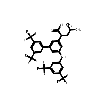 CC(=O)C(CC(C)C)c1cc(Nc2cc(C(F)(F)F)cc(C(F)(F)F)c2)cc(-c2cc(C(F)(F)F)cc(C(F)(F)F)c2)c1